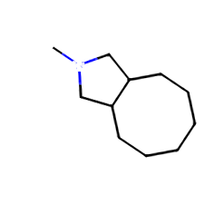 CN1CC2CCCCCCC2C1